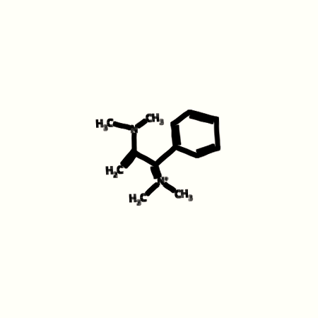 C=C(C(c1ccccc1)=[N+](C)C)N(C)C